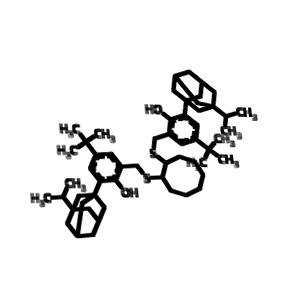 CC(C)C12CC3CC(CC(c4cc(C(C)(C)C)cc(CSC5CCCCCCC5SCc5cc(C(C)(C)C)cc(C67CC8CC(C6)CC(C(C)C)(C8)C7)c5O)c4O)(C3)C1)C2